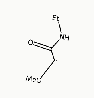 CCNC(=O)[CH]OC